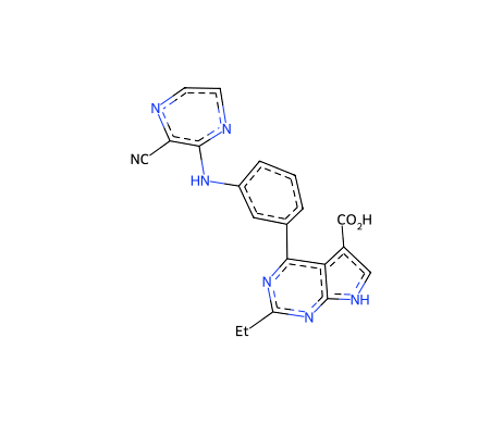 CCc1nc(-c2cccc(Nc3nccnc3C#N)c2)c2c(C(=O)O)c[nH]c2n1